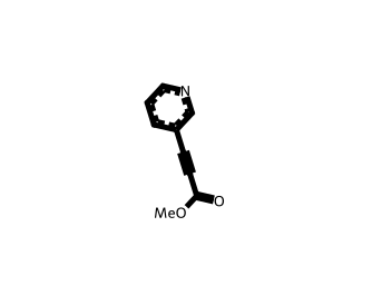 COC(=O)C#Cc1cccnc1